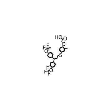 Cc1cc(SCC=C(c2ccc(OC(F)(F)F)cc2)c2ccc(OC(F)(F)F)cc2)ccc1OCC(=O)O